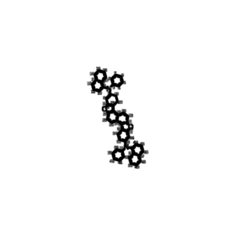 C1=C(N(c2ccccc2)c2cccc3ccccc23)CCc2c1oc1ccc3c(ccc4oc5cc(N(c6ccccc6)c6cccc7ccccc67)ccc5c43)c21